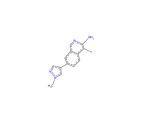 Cn1cc(-c2ccc3c(I)c(N)ncc3c2)cn1